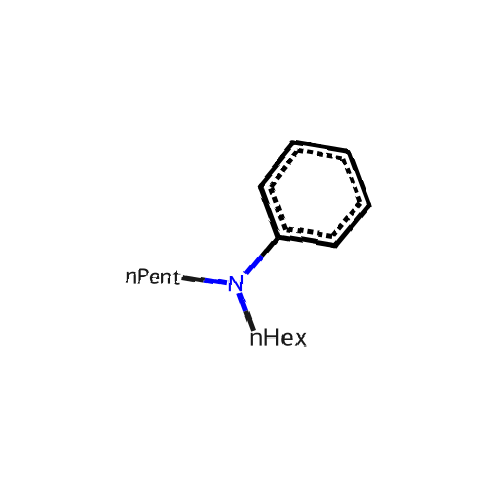 [CH2]CCCCN(CCCCCC)c1ccccc1